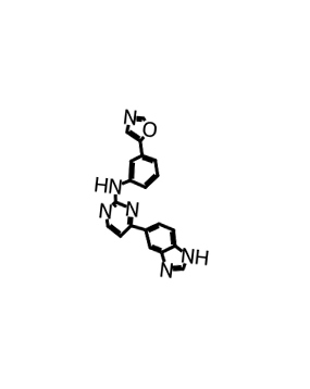 c1cc(Nc2nccc(-c3ccc4[nH]cnc4c3)n2)cc(-c2cnco2)c1